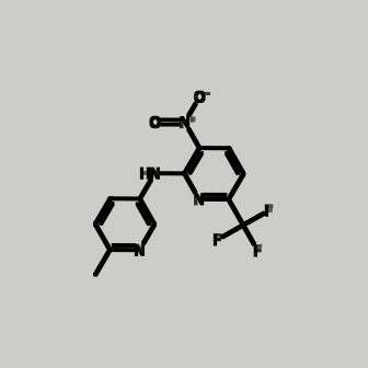 Cc1ccc(Nc2nc(C(F)(F)F)ccc2[N+](=O)[O-])cn1